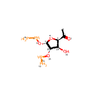 CC(=O)[C@@H]1O[C@@H](OPP)[C@@H](OPP)[C@@H]1O